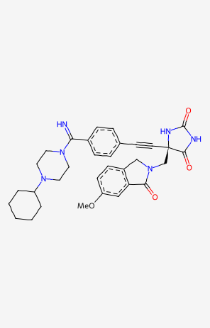 COc1ccc2c(c1)C(=O)N(C[C@@]1(C#Cc3ccc(C(=N)N4CCN(C5CCCCC5)CC4)cc3)NC(=O)NC1=O)C2